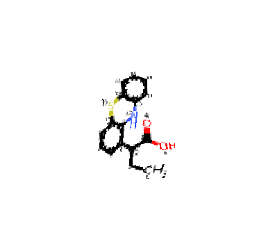 CCC(C(=O)O)c1cccc2c1Nc1ccccc1S2